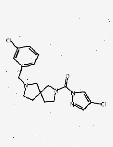 O=C(N1CCC2(CCN(Cc3cccc(Cl)c3)C2)C1)n1cc(Cl)cn1